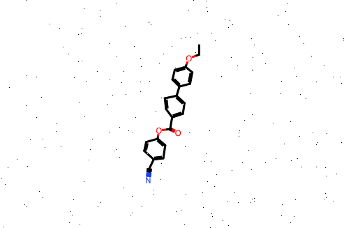 CCOc1ccc(-c2ccc(C(=O)Oc3ccc(C#N)cc3)cc2)cc1